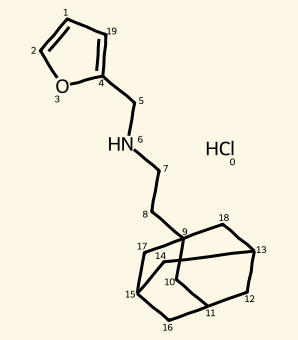 Cl.c1coc(CNCCC23CC4CC(CC(C4)C2)C3)c1